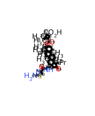 CC(C)C1=C2[C@H]3CC[C@@]4(C)[C@@](C)(CC[C@H]5C(C)(C)[C@@H](OC(=O)[C@H]6C[C@@H](C(=O)O)C6(C)C)CC[C@@]54C)[C@]3(C)CC[C@@]2(CCNC(=O)c2csc(N)n2)CC1=O